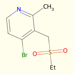 CCS(=O)(=O)Cc1c(Br)ccnc1C